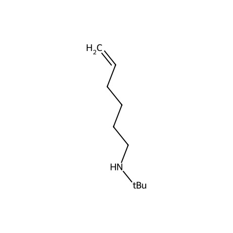 C=CCCCCNC(C)(C)C